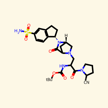 CC(C)(C)OC(=O)NC(CN1C[C@@H]2CC1C(=O)N2[C@H]1CCc2cc(S(N)(=O)=O)ccc21)C(=O)N1CCCC1C#N